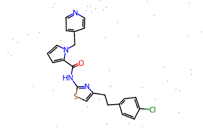 O=C(Nc1nc(CCc2ccc(Cl)cc2)cs1)c1cccn1Cc1ccncc1